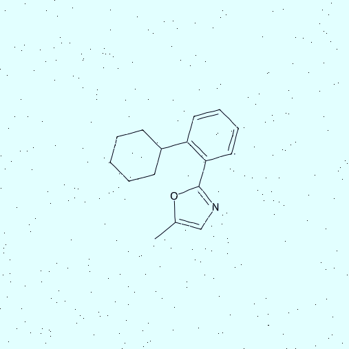 Cc1cnc(-c2[c]cccc2C2CCCCC2)o1